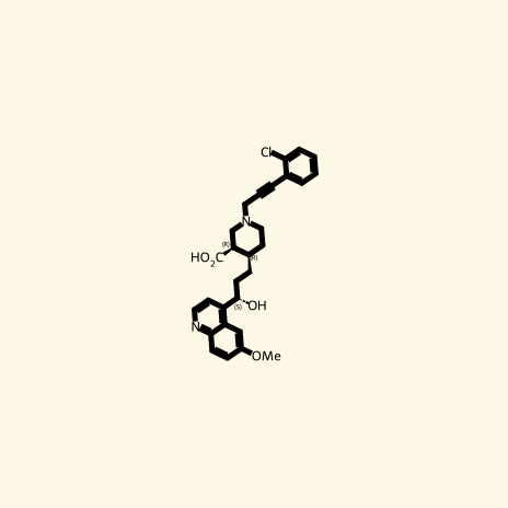 COc1ccc2nccc([C@@H](O)CC[C@@H]3CCN(CC#Cc4ccccc4Cl)C[C@@H]3C(=O)O)c2c1